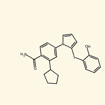 NC(=O)c1ccc(-n2cccc2Sc2ccccc2O)cc1C1CCCC1